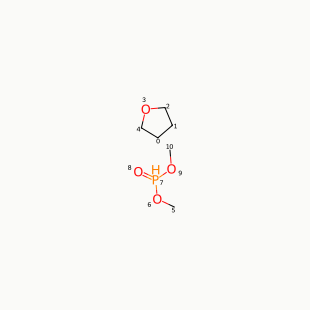 C1CCOC1.CO[PH](=O)OC